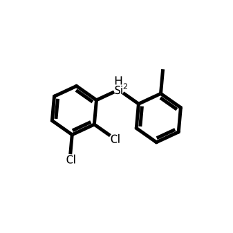 Cc1ccccc1[SiH2]c1cccc(Cl)c1Cl